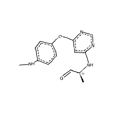 CNc1ccc(Oc2cc(N[C@@H](C)C=O)ncn2)cc1